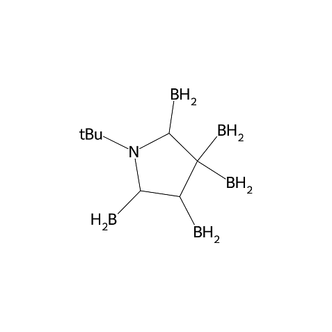 BC1C(B)C(B)(B)C(B)N1C(C)(C)C